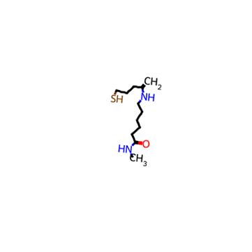 C=C(CCCS)NCCCCCC(=O)NC